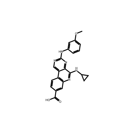 COc1cccc(Nc2ncc3c(n2)c(NC2CC2)nc2cc(C(=O)O)ccc23)c1